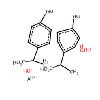 CC(C(=O)O)c1ccc(C(C)(C)C)cc1.CC(C(=O)O)c1ccc(C(C)(C)C)cc1.[Al+3].[OH-].[OH-].[OH-]